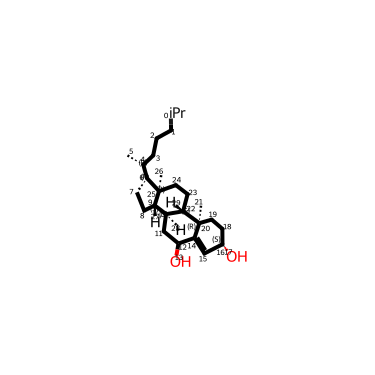 CC(C)CCC[C@@H](C)[C@H]1CC[C@H]2[C@@H]3CC(O)C4=C[C@@H](O)CC[C@]4(C)[C@H]3CC[C@]12C